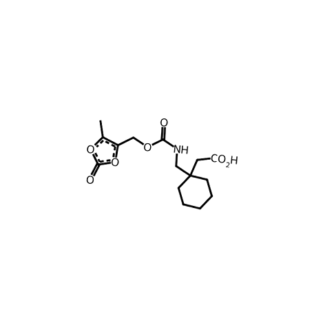 Cc1oc(=O)oc1COC(=O)NCC1(CC(=O)O)CCCCC1